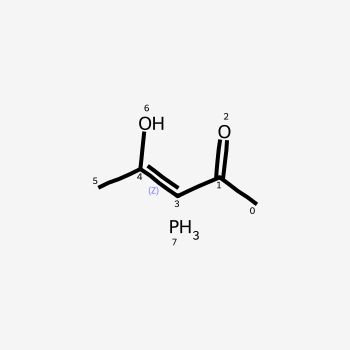 CC(=O)/C=C(/C)O.P